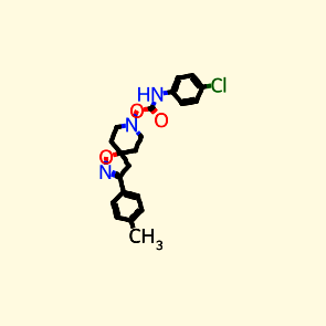 Cc1ccc(C2=NOC3(CCN(OC(=O)Nc4ccc(Cl)cc4)CC3)C2)cc1